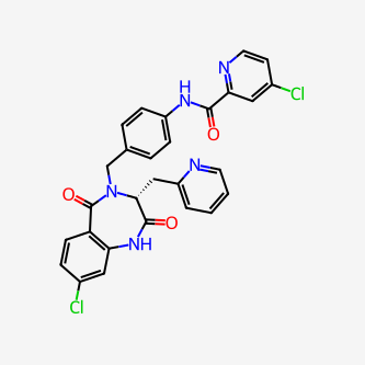 O=C(Nc1ccc(CN2C(=O)c3ccc(Cl)cc3NC(=O)[C@H]2Cc2ccccn2)cc1)c1cc(Cl)ccn1